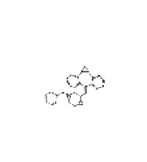 C(=C1c2ccccc2C2CC2c2ccccc21)C1CN(Cc2ccccc2)CCO1